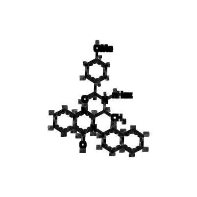 CCCCCCN(C(=O)c1ccc(OC)cc1)C(C)c1nc2ccccc2c(=O)n1-c1ccc2ccccc2c1